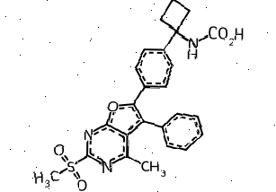 Cc1nc(S(C)(=O)=O)nc2oc(-c3ccc(C4(NC(=O)O)CCC4)cc3)c(-c3ccccc3)c12